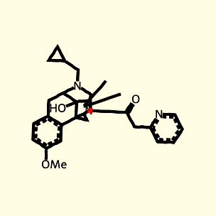 COc1ccc2c(c1)C13CCN(CC4CC4)C(C2)C1(O)CC(C)(C)N(C(=O)Cc1ccccn1)CC3